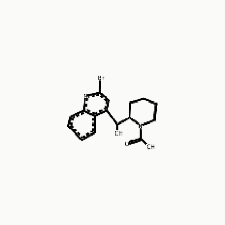 O=C(O)N1CCCCC1C(O)c1cc(Br)nc2ccccc12